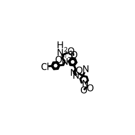 COC(=O)N1CCC(C#N)(c2nnc(-c3ccc4c(c3)N(Cc3ccc(Cl)cc3)C(=O)[C@@H](N)CS4(=O)=O)o2)CC1